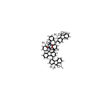 C#C/C(=C\C=C/C)C1(C2C=CC=CC2)c2ccccc2-c2c(-c3cccc4c3-c3ccccc3C4(C)C)ccc(-c3ccc(N(c4ccc5c(c4)C(C)(C)c4ccccc4-5)c4ccccc4-c4ccccc4)cc3)c21